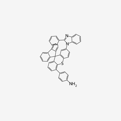 Nc1ccc(-c2cccc3c2Sc2ccc(-n4c(-c5ccccc5)nc5ccccc54)cc2C32C3=CCCC=C3c3ccccc32)cc1